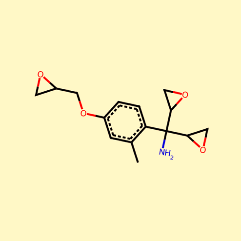 Cc1cc(OCC2CO2)ccc1C(N)(C1CO1)C1CO1